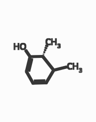 CC1C=CC=C(O)[C@@H]1C